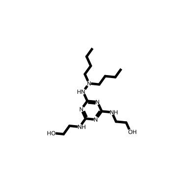 CCCCN(CCCC)Nc1nc(NCCO)nc(NCCO)n1